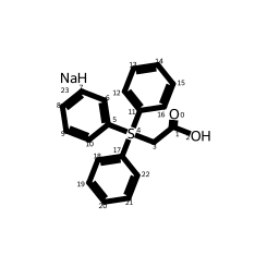 O=C(O)CS(c1ccccc1)(c1ccccc1)c1ccccc1.[NaH]